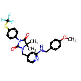 COc1ccc(CNc2cc(CN3C(=O)N(c4ccc(SC(F)(F)F)cc4)C(=O)C3(C)C)ccn2)cc1